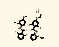 CCOc1cc(Cl)c(C(=O)Pc2ccccc2OCC)c(Cl)c1.COc1ccc(PC(=O)c2c(Cl)cccc2Cl)c(OC)c1.[LiH].[LiH]